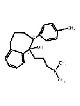 Cc1ccc([C@@H]2CCCc3ccccc3[C@@]2(O)CCCN(C)C)cc1